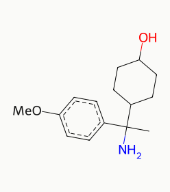 COc1ccc(C(C)(N)C2CCC(O)CC2)cc1